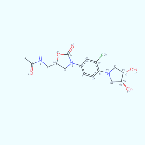 CC(=O)NC[C@H]1CN(c2ccc(N3C[C@H](O)[C@@H](O)C3)c(F)c2)C(=O)O1